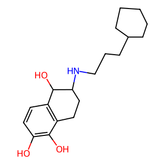 Oc1ccc2c(c1O)CCC(NCCCC1CCCCC1)C2O